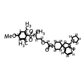 COc1cc(C)c(S(=O)(=O)N(C)CCOCC(=O)N2CCC(CCN3CCCC3)(c3cccnc3)CC2)c(C)c1